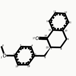 COc1ccc(C[C@@H]2CCc3ccccc3C2=O)cc1